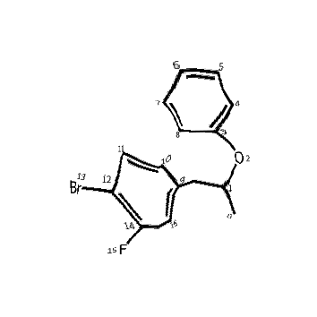 CC(Oc1ccccc1)c1ccc(Br)c(F)c1